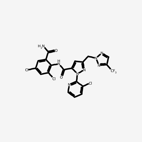 NC(=O)c1cc(Cl)cc(Cl)c1NC(=O)c1cc(Cn2ncc(C(F)(F)F)n2)nn1-c1ncccc1Cl